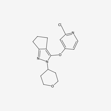 Clc1cc(Oc2c3c(nn2C2CCOCC2)CCC3)ccn1